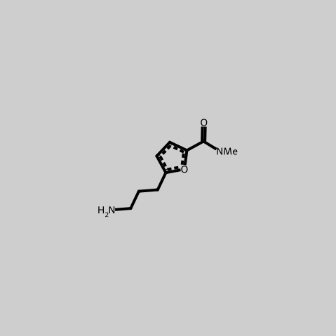 CNC(=O)c1ccc(CCCN)o1